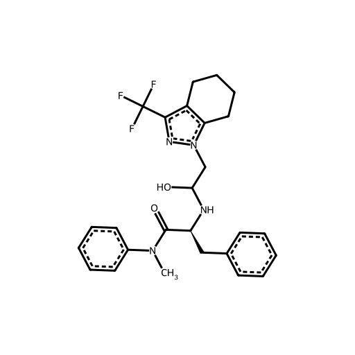 CN(C(=O)[C@H](Cc1ccccc1)NC(O)Cn1nc(C(F)(F)F)c2c1CCCC2)c1ccccc1